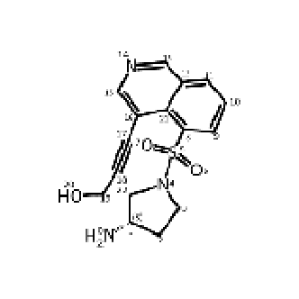 N[C@H]1CCN(S(=O)(=O)c2cccc3cncc(C#CCO)c23)C1